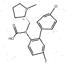 CN1CCC[C@H]1CN(C(=O)O)c1ccc(F)cc1-c1ccc(Cl)cc1